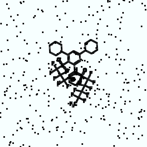 O=S(=O)(NS(=O)(=O)C(F)(F)C(F)(F)C(F)(F)S(=O)(=O)c1c(C2CCCCC2)cc(C2CCCCC2)cc1C1CCCCC1)C(F)(F)C(F)(F)C(F)(F)C(F)(F)C(F)(F)F